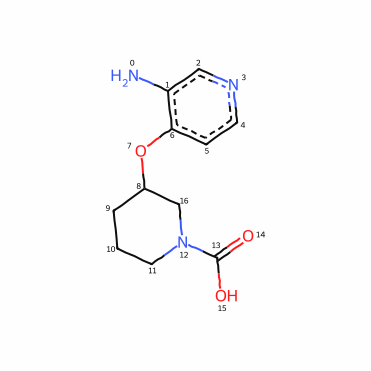 Nc1cnccc1OC1CCCN(C(=O)O)C1